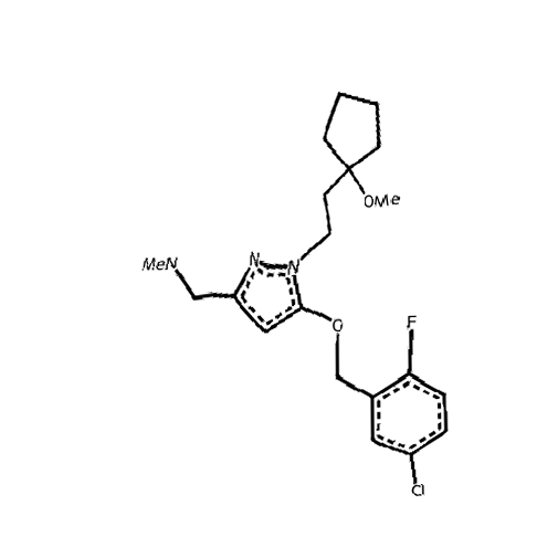 CNCc1cc(OCc2cc(Cl)ccc2F)n(CCC2(OC)CCCC2)n1